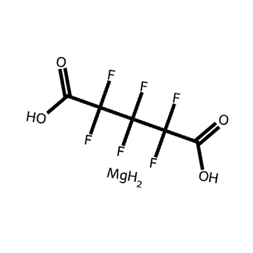 O=C(O)C(F)(F)C(F)(F)C(F)(F)C(=O)O.[MgH2]